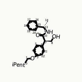 CCCC(C)COc1ccc([C@H](CO)C(=O)N[C@@H](C)c2ccccc2)cc1